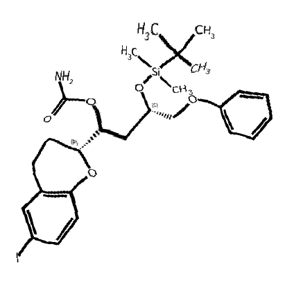 CC(C)(C)[Si](C)(C)O[C@H](COc1ccccc1)CC(OC(N)=O)[C@H]1CCc2cc(I)ccc2O1